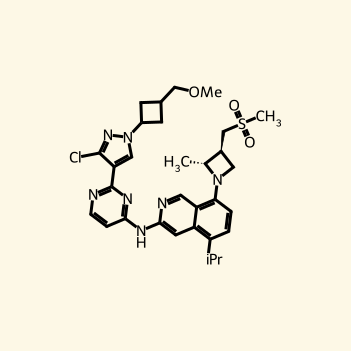 COCC1CC(n2cc(-c3nccc(Nc4cc5c(C(C)C)ccc(N6C[C@H](CS(C)(=O)=O)[C@H]6C)c5cn4)n3)c(Cl)n2)C1